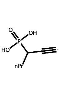 [C]#CC(CCC)P(=O)(O)O